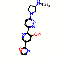 CN[C@@H]1CCN(c2ccc(-c3ncc(-c4ncco4)cc3O)nn2)C1